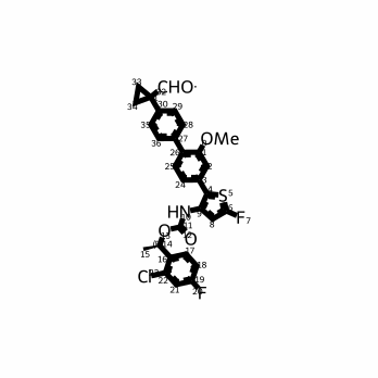 COc1cc(-c2sc(F)cc2NC(=O)O[C@H](C)c2ccc(F)cc2Cl)ccc1-c1ccc(C2([C]=O)CC2)cc1